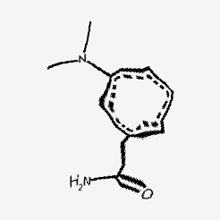 CN(C)c1cccc(C(N)=O)c1